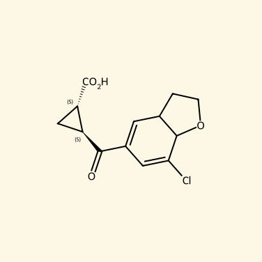 O=C(O)[C@H]1C[C@@H]1C(=O)C1=CC2CCOC2C(Cl)=C1